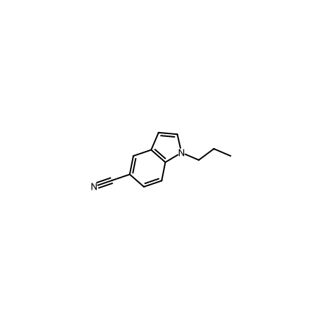 CCCn1ccc2cc(C#N)ccc21